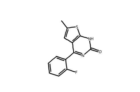 Cc1cc2c(-c3ccccc3F)nc(=O)[nH]c2s1